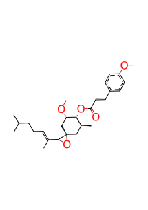 COc1ccc(C=CC(=O)O[C@H]2[C@@H](OC)C[C@@]3(C[C@@H]2C)OC3C(C)=CCCC(C)C)cc1